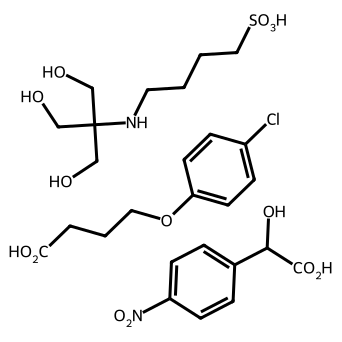 O=C(O)C(O)c1ccc([N+](=O)[O-])cc1.O=C(O)CCCOc1ccc(Cl)cc1.O=S(=O)(O)CCCCNC(CO)(CO)CO